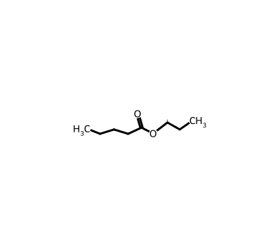 CC[CH]OC(=O)CCCC